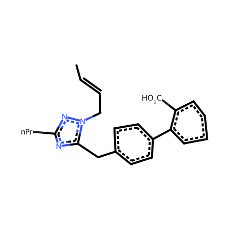 C/C=C/Cn1nc(CCC)nc1Cc1ccc(-c2ccccc2C(=O)O)cc1